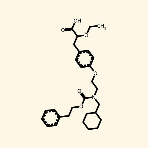 CCOC(Cc1ccc(OCCN(CC2CCCCC2)C(=O)OCCc2ccccc2)cc1)C(=O)O